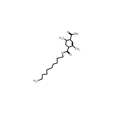 CCCCCCCCCCOC(=O)C1CC(C)C(C(=O)O)C=C1C